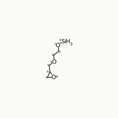 [SiH3]OCCOCC1CO1